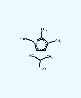 CC(O)C(=O)[O-].CCCCCCCC[n+]1ccn(C)c1C